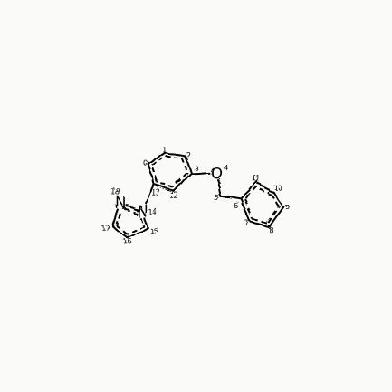 [c]1ccc(OCc2ccccc2)cc1-n1cccn1